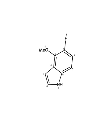 COc1c(F)ccc2[nH]ccc12